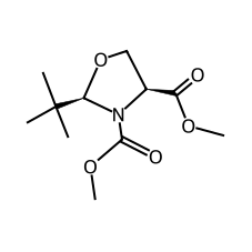 COC(=O)[C@@H]1CO[C@H](C(C)(C)C)N1C(=O)OC